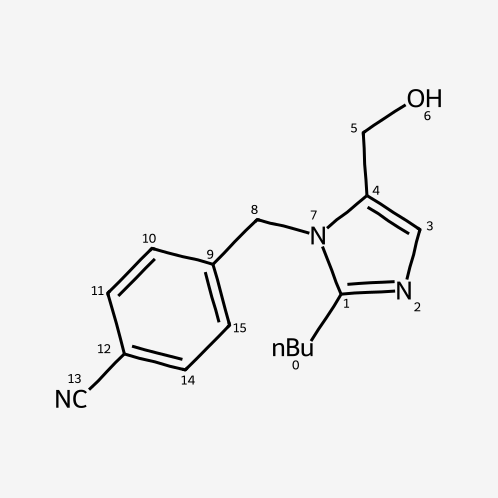 CCCCc1ncc(CO)n1Cc1ccc(C#N)cc1